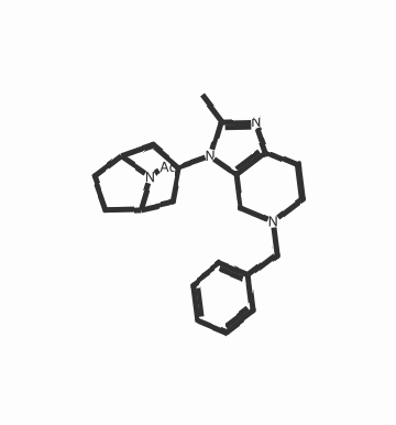 CC(=O)N1C2CCC1CC(n1c(C)nc3c1CN(Cc1ccccc1)CC3)C2